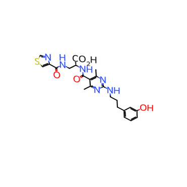 Cc1nc(NCCCc2cccc(O)c2)nc(C)c1C(=O)N[C@@H](CNC(=O)c1cscn1)C(=O)O